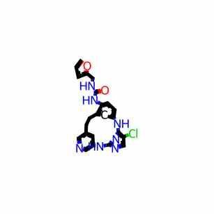 O=C(NCc1ccco1)Nc1ccc2cc1CCc1cncc(c1)Nc1ncc(Cl)c(n1)N2